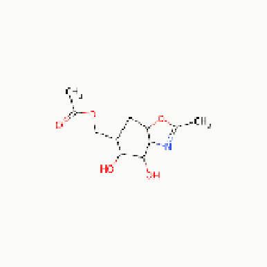 CC(=O)OCC1CC2OC(C)=NC2C(O)C1O